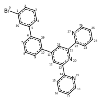 Brc1cccc(-c2cccc(-c3cc(-c4ccccn4)nc(-c4ccccn4)c3)c2)c1